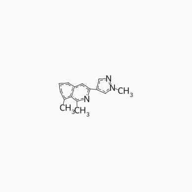 Cc1cccc2cc(-c3cnn(C)c3)nc(C)c12